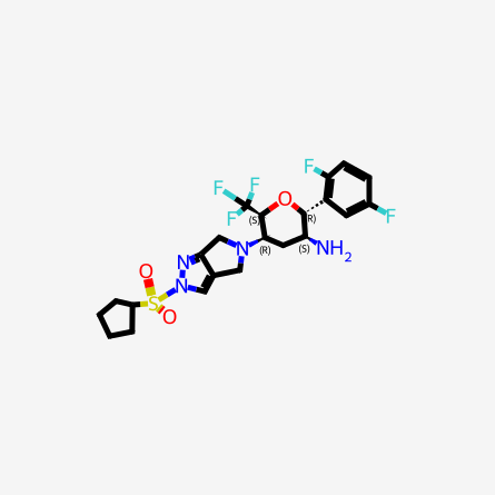 N[C@H]1C[C@@H](N2Cc3cn(S(=O)(=O)C4CCCC4)nc3C2)[C@@H](C(F)(F)F)O[C@@H]1c1cc(F)ccc1F